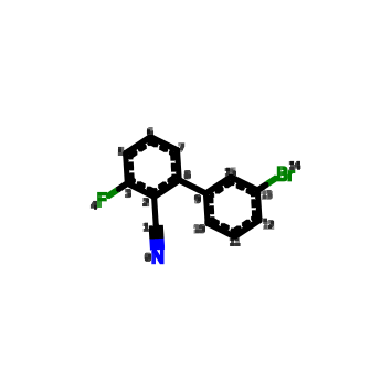 N#Cc1c(F)cccc1-c1cc[c]c(Br)c1